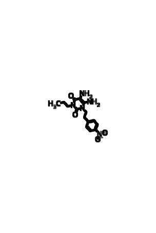 CCCn1c(=O)c(N)c(N)n(CCc2ccc([N+](=O)[O-])cc2)c1=O